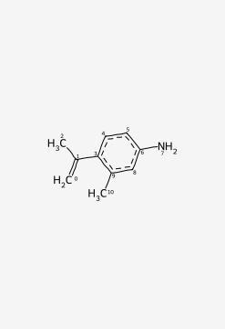 C=C(C)c1ccc(N)cc1C